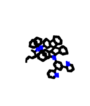 C/C=C\C=C/C(C)N(c1ccccc1)c1ccc2c(c1)c1c(n2-c2cc(-c3ccccn3)cc(-c3ccccn3)c2)-c2ccccc2C12C1=C(C=CC(N(c3ccccc3)c3ccccc3)C1)c1ccccc12